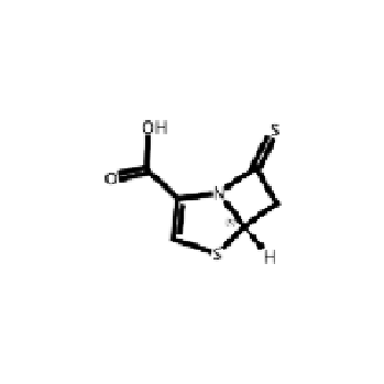 O=C(O)C1=CS[C@H]2CC(=S)N12